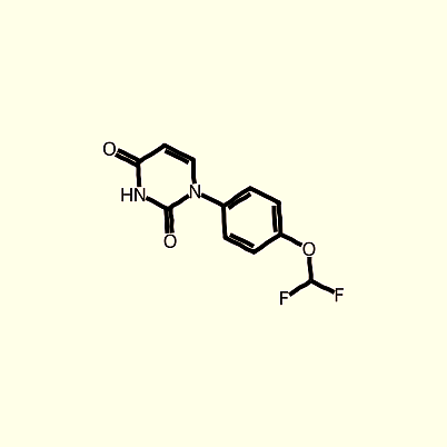 O=c1ccn(-c2ccc(OC(F)F)cc2)c(=O)[nH]1